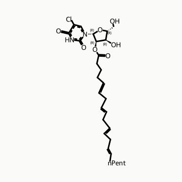 CCCCCC=CCC=CCC=CCC=CCCCC(=O)O[C@@H]1[C@H](O)[C@@H](CO)O[C@H]1n1cc(Cl)c(=O)[nH]c1=O